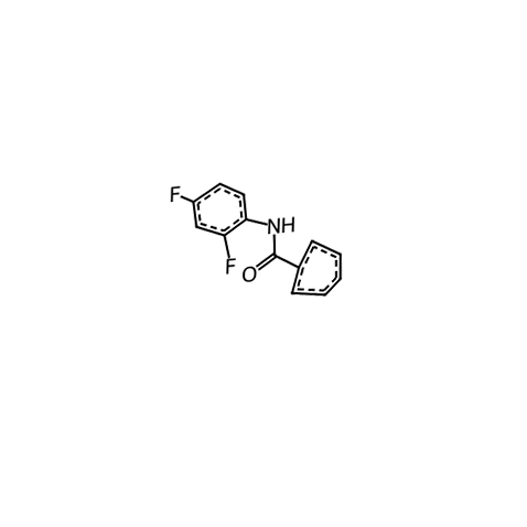 O=C(Nc1ccc(F)cc1F)c1ccccc1